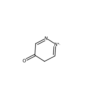 O=C1C=N[N+]=CC1